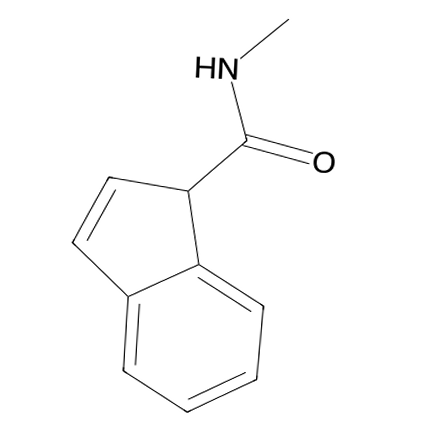 CNC(=O)C1C=Cc2ccccc21